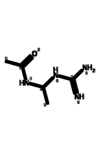 CC(=O)NC(C)NC(=N)N